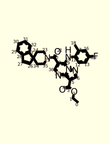 CCOC(=O)c1cnn2c(Nc3ccc(F)cc3C)c(C(=O)N3CCC4(C=Cc5ccccc54)CC3)cnc12